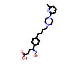 Cc1cccc(N2CCN(CCCCc3ccc(C(CCC(=O)O)=NO)cc3)CC2)n1